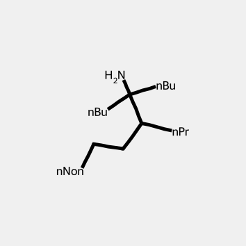 CCCCCCCCCCCC(CCC)C(N)(CCCC)CCCC